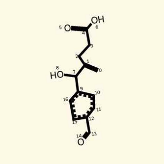 C=C(CCC(=O)O)C(O)c1ccc(C=O)cc1